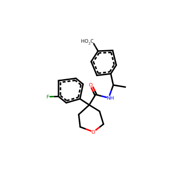 CC(NC(=O)C1(c2cccc(F)c2)CCOCC1)c1ccc(C(=O)O)cc1